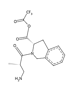 C[C@@H](CN)C(=O)N1Cc2ccccc2C[C@H]1C(=O)OC(=O)C(F)(F)F